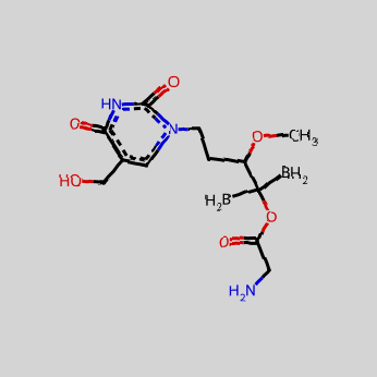 BC(B)(OC(=O)CN)C(CCn1cc(CO)c(=O)[nH]c1=O)OC